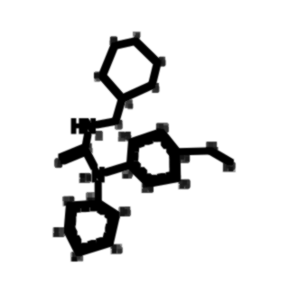 C=C(NCC1CCCCC1)N(c1ccccc1)c1ccc(CC)cc1